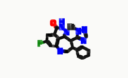 CCn1ncnc1C1c2n[nH]c(=O)c3cc(F)cc(c23)N=CC1c1ccccc1